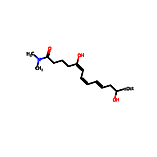 CCCCCCCCC(O)C/C=C/C=C\C=C(\O)CCCC(=O)N(C)C